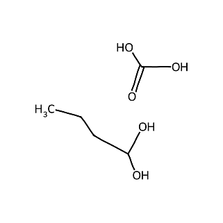 CCCC(O)O.O=C(O)O